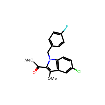 COC(=O)c1c(OC)c2cc(Cl)ccc2n1Cc1ccc(F)cc1